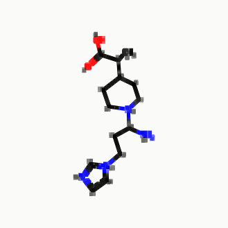 CC(C(=O)O)C1CCN(C(N)CCn2ccnc2)CC1